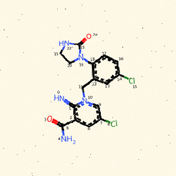 N=c1c(C(N)=O)cc(Cl)cn1Cc1cc(Cl)ccc1N1CCNC1=O